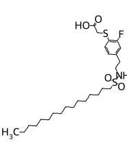 CCCCCCCCCCCCCCCCS(=O)(=O)NCCc1ccc(SCC(=O)O)c(F)c1